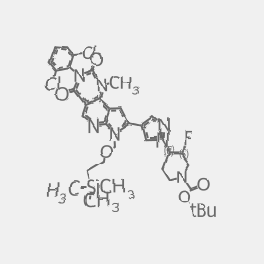 Cn1c(=O)n(-c2c(Cl)cccc2Cl)c(=O)c2cnc3c(cc(-c4cnn([C@@H]5CCN(C(=O)OC(C)(C)C)C[C@@H]5F)c4)n3COCC[Si](C)(C)C)c21